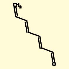 C=C/C=C/C=C/C=O